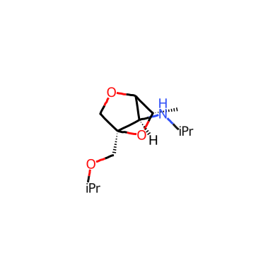 CC(C)N[C@@H]1C2OC[C@]1(COC(C)C)O[C@H]2C